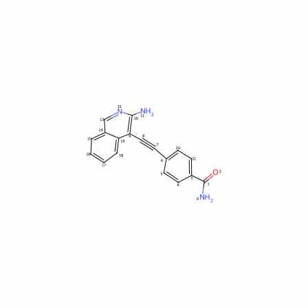 NC(=O)c1ccc(C#Cc2c(N)ncc3ccccc23)cc1